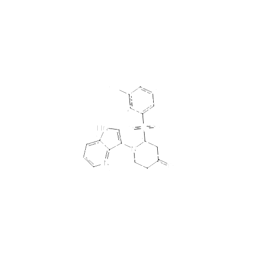 O=C1CCN(c2c[nH]c3cccnc23)C(S(=O)(=O)c2cccc(F)c2)C1